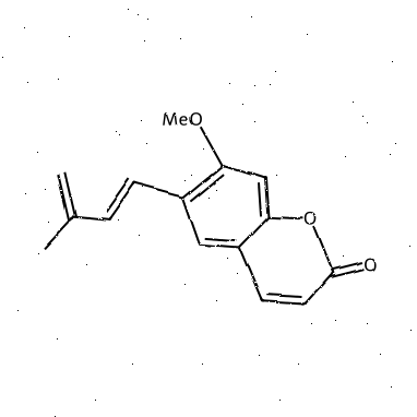 C=C(C)/C=C/c1cc2ccc(=O)oc2cc1OC